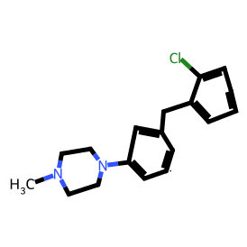 CN1CCN(c2c[c]cc(Cc3ccccc3Cl)c2)CC1